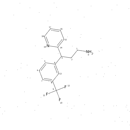 NCCC(c1cccc(C(F)(F)F)c1)c1ccccn1